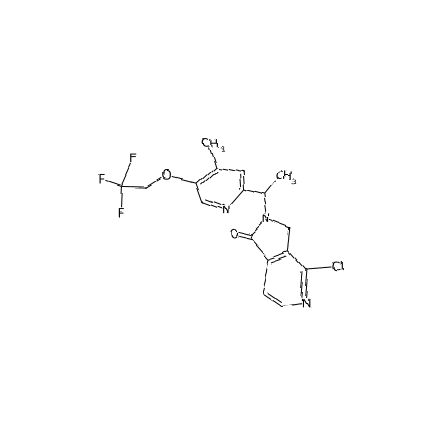 Cc1cc(C(C)N2Cc3c(ccnc3Cl)C2=O)ncc1OCC(F)(F)F